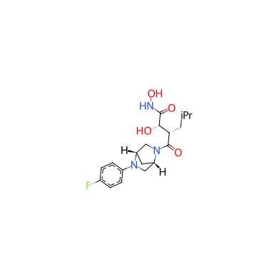 CC(C)C[C@H](C(=O)N1C[C@@H]2C[C@H]1CN2c1ccc(F)cc1)[C@H](O)C(=O)NO